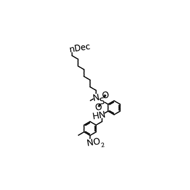 CCCCCCCCCCCCCCCCCCN(C)S(=O)(=O)c1ccccc1NCc1ccc(C)c([N+](=O)[O-])c1